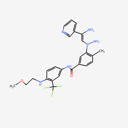 COCCNc1ccc(NC(=O)c2ccc(C)c(N(N)/C=C(\N)c3cccnc3)c2)cc1C(F)(F)F